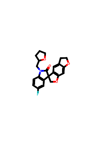 O=C1N(CC2CCCO2)c2ccc(F)cc2C12COc1cc3c(cc12)CCO3